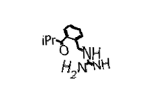 CC(C)C(=O)c1ccccc1CNC(=N)N